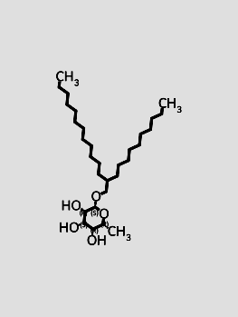 CCCCCCCCCCCCC(CCCCCCCCCC)CO[C@H]1O[C@H](C)[C@H](O)[C@H](O)[C@H]1O